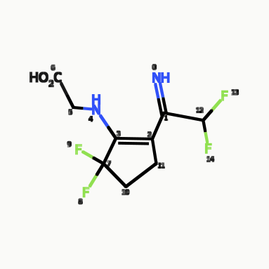 N=C(C1=C(NCC(=O)O)C(F)(F)CC1)C(F)F